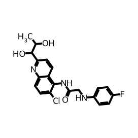 CC(O)C(O)c1ccc2c(NC(=O)CNc3ccc(F)cc3)c(Cl)ccc2n1